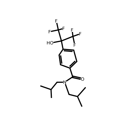 CC(C)CN(CC(C)C)C(=O)c1ccc(C(O)(C(F)(F)F)C(F)(F)F)cc1